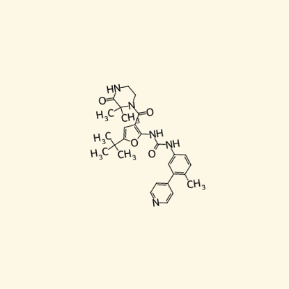 Cc1ccc(NC(=O)Nc2oc(C(C)(C)C)cc2C(=O)N2CCNC(=O)C2(C)C)cc1-c1ccncc1